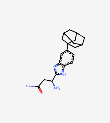 NC(=O)C[C@H](N)c1nc2cc(C34CC5CC(CC(C5)C3)C4)ccc2[nH]1